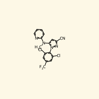 CN(c1ccccn1)c1cc(C#N)nn1-c1c(Cl)cc(C(F)(F)F)cc1Cl